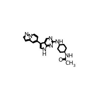 CC(=O)N[C@H]1CC[C@@H](Nc2ncc3c(-c4ccn5nccc5c4)c[nH]c3n2)CC1